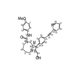 COc1ccc(NC(=O)N2CCCCN3[C@H](CO)[C@H](c4ccc(C#Cc5ccccn5)cc4)[C@@H]3C2)cc1